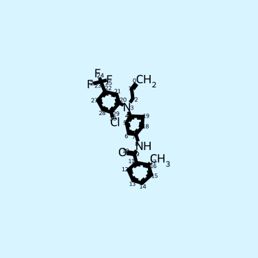 C=CCN(c1ccc(NC(=O)c2ccccc2C)cc1)c1cc(C(F)(F)F)ccc1Cl